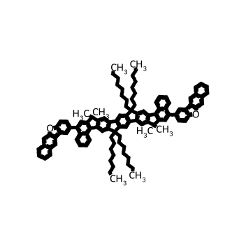 CCCCCCCCC1(CCCCCCCC)c2cc3c(cc2-c2cc4c(cc21)-c1cc2c(cc1C4(CCCCCCCC)CCCCCCCC)-c1c(cc(-c4ccc5oc6cc7ccccc7cc6c5c4)c4ccccc14)C2(C)C)C(C)(C)c1cc(-c2ccc4oc5cc6ccccc6cc5c4c2)c2ccccc2c1-3